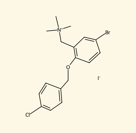 C[N+](C)(C)Cc1cc(Br)ccc1OCc1ccc(Cl)cc1.[I-]